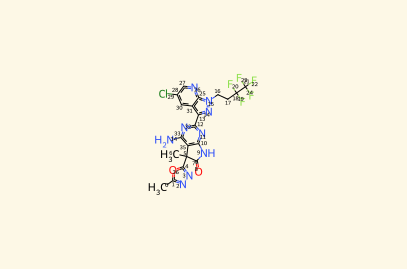 Cc1nnc(C2(C)C(=O)Nc3nc(-c4nn(CCC(F)(F)C(F)(F)F)c5ncc(Cl)cc45)nc(N)c32)o1